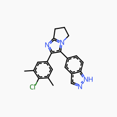 Cc1cc(-c2nc3n(c2-c2ccc4[nH]ncc4c2)CCC3)cc(C)c1Cl